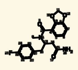 CN(C(=O)c1cccc2c1OCO2)C(CC(N)=O)Cc1ccc(F)cc1